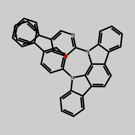 c1ccc(-c2ccc(-n3c4ccccc4c4ccc5c6ccccc6n(-c6ccc(-c7ccccc7)cn6)c5c43)cc2)cc1